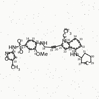 COc1cc(S(=O)(=O)Nc2cc(C)on2)ccc1NCC#Cc1cc2c(NC3CCCCC3)cccc2n1CC(F)(F)F